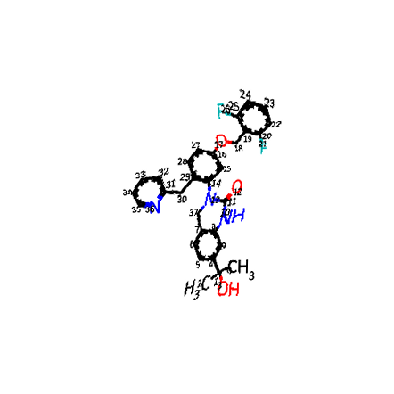 CC(C)(O)c1ccc2c(c1)NC(=O)N(c1cc(OCc3c(F)cccc3F)ccc1Cc1ccccn1)C2